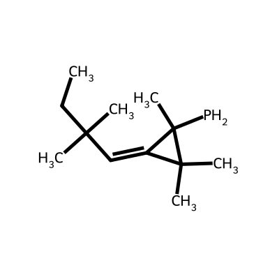 CCC(C)(C)/C=C1/C(C)(C)C1(C)P